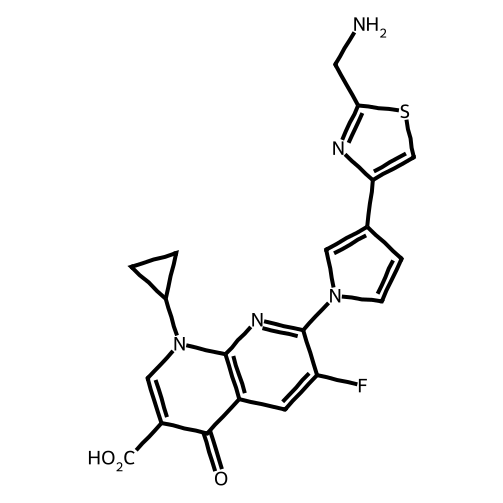 NCc1nc(-c2ccn(-c3nc4c(cc3F)c(=O)c(C(=O)O)cn4C3CC3)c2)cs1